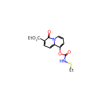 CCOC(=O)c1ccc2c(OC(=O)NSCC)cccn2c1=O